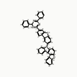 c1ccc(C2=NC(c3ccccc3)NC(c3ccc4c(c3)sc3ccc(-n5c6ccccc6c6c7c(ccc65)oc5ccccc57)cc34)=N2)cc1